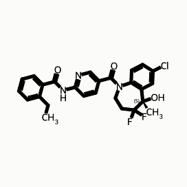 CCc1ccccc1C(=O)Nc1ccc(C(=O)N2CCC(F)(F)[C@@](C)(O)c3cc(Cl)ccc32)cn1